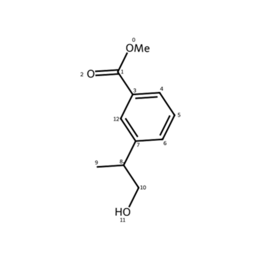 COC(=O)c1cccc([C](C)CO)c1